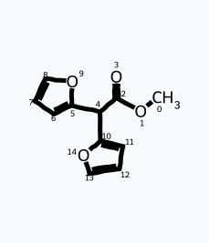 COC(=O)C(c1ccco1)c1ccco1